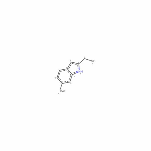 COc1ccc2cc(CN=O)[nH]c2c1